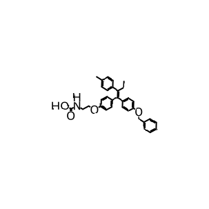 CCC(=C(c1ccc(OCCNC(=O)O)cc1)c1ccc(OCc2ccccc2)cc1)c1ccc(C)cc1